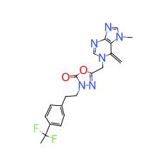 C=C1c2c(ncn2C)N=CN1Cc1nn(CCc2ccc(C(C)(F)F)cc2)c(=O)o1